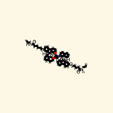 CCCNC(=O)CCCCOc1ccc2c(c1)C1(Nc3cccc4ccc(C5=C(O)/C(=c6/ccc7cccc8c7c6=NC6(N8)c7ccccc7-c7ccc(OCCCCC(=O)N(C)CCC)cc76)C5=O)c(c34)N1)c1ccccc1-2